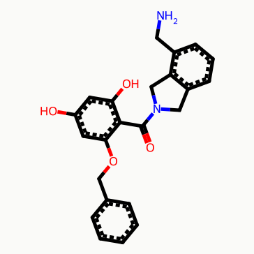 NCc1cccc2c1CN(C(=O)c1c(O)cc(O)cc1OCc1ccccc1)C2